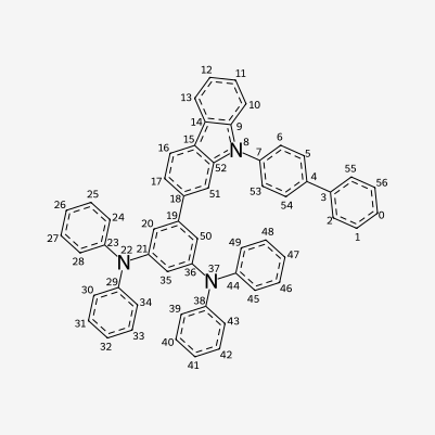 c1ccc(-c2ccc(-n3c4ccccc4c4ccc(-c5cc(N(c6ccccc6)c6ccccc6)cc(N(c6ccccc6)c6ccccc6)c5)cc43)cc2)cc1